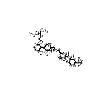 Cc1ncnc(OCCN(C)C)c1-c1ccc(CN/C=C(/NC(=O)Nc2cccc(C(F)(F)F)c2)ON)nc1